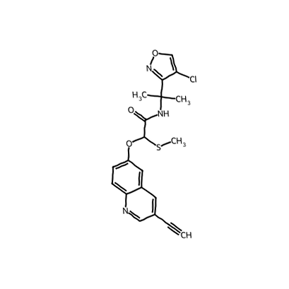 C#Cc1cnc2ccc(OC(SC)C(=O)NC(C)(C)c3nocc3Cl)cc2c1